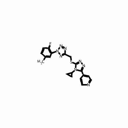 Cc1ccc(F)c(-n2nnc(CSc3nnc(-c4ccncc4)n3C3CC3)n2)c1